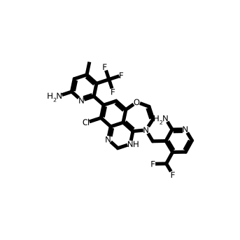 Cc1cc(N)nc(-c2cc3c4c(c2Cl)=NCNC=4N(Cc2c(C(F)F)ccnc2N)C=CO3)c1C(F)(F)F